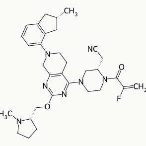 C=C(F)C(=O)N1CCN(c2nc(OC[C@@H]3CCCN3C)nc3c2CCN(c2cccc4c2C[C@@H](C)C4)C3)C[C@@H]1CC#N